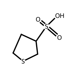 O=S(=O)(O)C1CCSC1